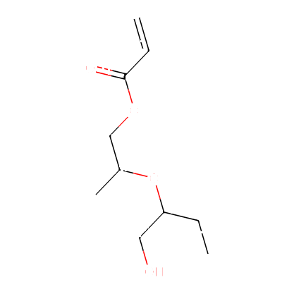 C=CC(=O)OCC(C)OC(CC)CO